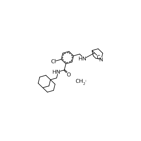 O=C(NCC12CCCC(CCC1)C2)c1cc(CNC2CN3CCC2CC3)ccc1Cl.[CH2]